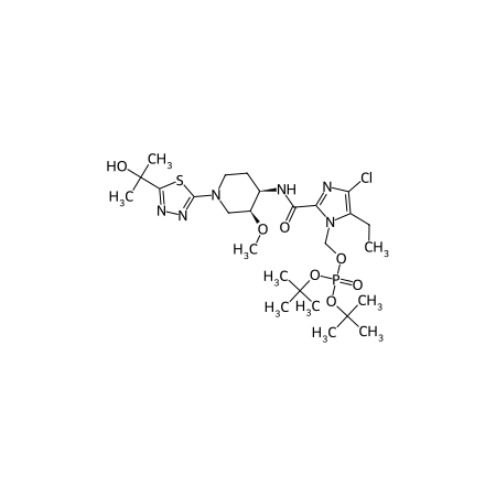 CCc1c(Cl)nc(C(=O)N[C@@H]2CCN(c3nnc(C(C)(C)O)s3)C[C@@H]2OC)n1COP(=O)(OC(C)(C)C)OC(C)(C)C